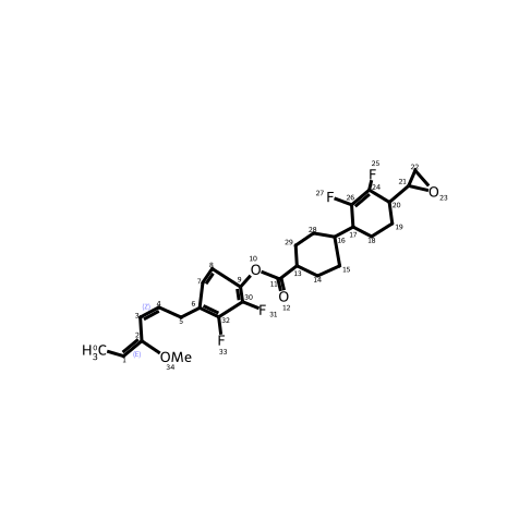 C/C=C(\C=C/Cc1ccc(OC(=O)C2CCC(C3CCC(C4CO4)C(F)=C3F)CC2)c(F)c1F)OC